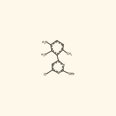 CSc1nc(Cl)cc(-c2c(C)ccc(N)c2N)n1